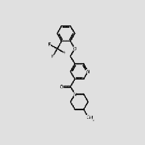 CC1CCN(C(=O)c2cncc(COc3ccccc3C(F)(F)F)c2)CC1